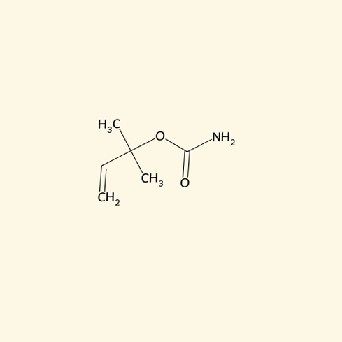 C=CC(C)(C)OC(N)=O